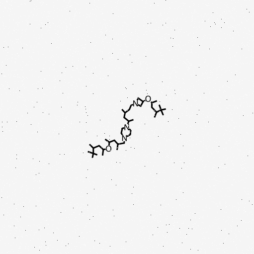 CC(CCN1CC(OC(C)CC(C)C(C)(C)C)C1)CC(C)N1CCN(CC(C)CC(C)OC(C)CC(C)C(C)(C)C)CC1